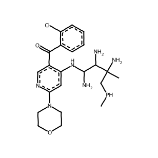 CPCC(C)(N)C(N)C(N)Nc1cc(N2CCOCC2)ncc1C(=O)c1ccccc1Cl